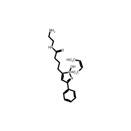 NCCNC(=O)CCCc1cc(-c2ccccc2)nn1O.O=C(O)/C=C\C(=O)O